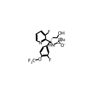 CC(C)(C)[S+]([O-])N[C@@](CCO)(c1ccc(OC(F)(F)F)c(F)c1)c1ncccc1F